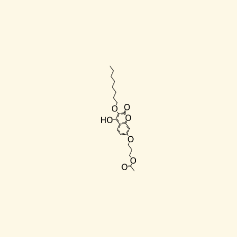 CCCCCCCCOc1c(O)c2ccc(OCCCOC(C)=O)cc2oc1=O